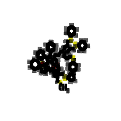 CSCCC[Si](CCCSC1CCCCCC1)(CCCSC1CCCC1)CCC[Si]1(CCC[Si](CCCSC2CCCCC2)(CCCSC2CCCCC2)CCCSC2CCCCC2)C(c2ccccc2)=C(c2ccccc2)C(c2ccccc2)=C1c1ccccc1